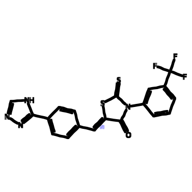 O=C1/C(=C/c2ccc(-c3nnc[nH]3)cc2)SC(=S)N1c1cccc(C(F)(F)F)c1